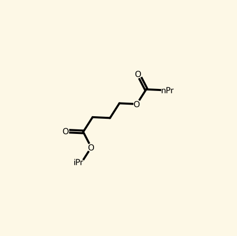 CCCC(=O)OCCCC(=O)OC(C)C